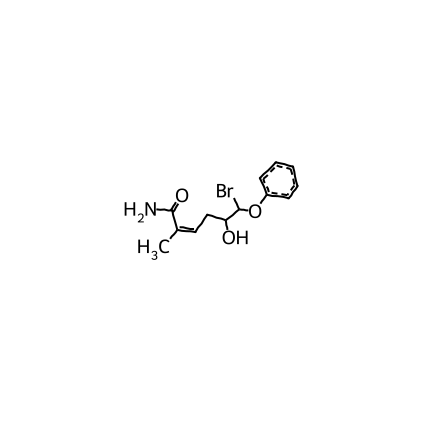 CC(=CCC(O)C(Br)Oc1ccccc1)C(N)=O